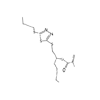 C=C(C)C(=O)OC(CCCC)CSc1nnc(SCCC)s1